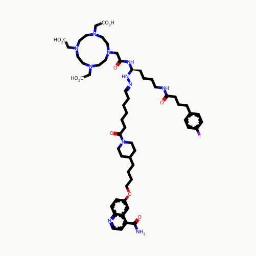 NC(=O)c1ccnc2ccc(OCCCCC3CCN(C(=O)CCCCC/C=N/N[C@H](CCCCNC(=O)CCCc4ccc(I)cc4)NC(=O)CN4CCN(CC(=O)O)CCN(CC(=O)O)CCN(CC(=O)O)CC4)CC3)cc12